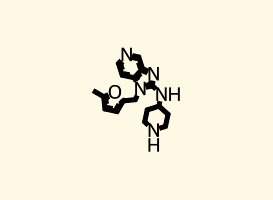 Cc1ccc(Cn2c(NC3CCNCC3)nc3cnccc32)o1